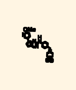 COc1ccc(-c2ccc3cnc(Nc4ccc(CN5CCS(=O)(=O)CC5)cc4)nn23)cn1